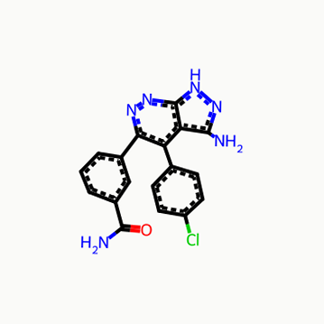 NC(=O)c1cccc(-c2nnc3[nH]nc(N)c3c2-c2ccc(Cl)cc2)c1